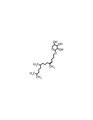 CC(=CCCCOC1OCC(O)C(O)C1O)CCCC(C)CCCC(C)C